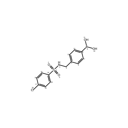 O=S(=O)(NCc1ccc(B(O)O)cc1)c1ccc(Cl)cc1